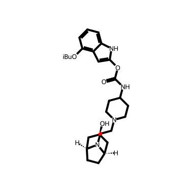 CC(C)COc1cccc2[nH]c(OC(=O)NC3CCN(CCN4[C@@H]5CC[C@H]4C[C@@H](O)C5)CC3)cc12